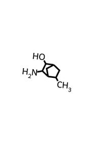 CC1CC2CC1C(N)C2O